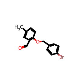 Cc1ccc(OCc2ccc(Br)cc2)c(C=O)c1